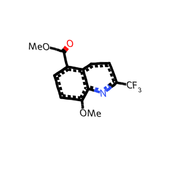 COC(=O)c1ccc(OC)c2nc(C(F)(F)F)ccc12